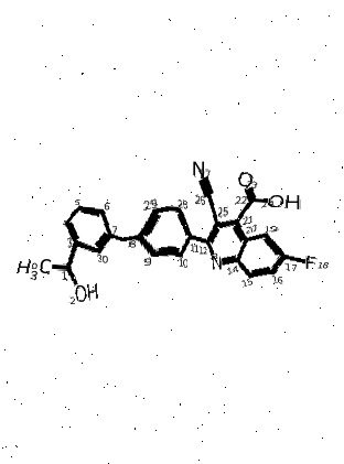 CC(O)c1cccc(-c2ccc(-c3nc4ccc(F)cc4c(C(=O)O)c3C#N)cc2)c1